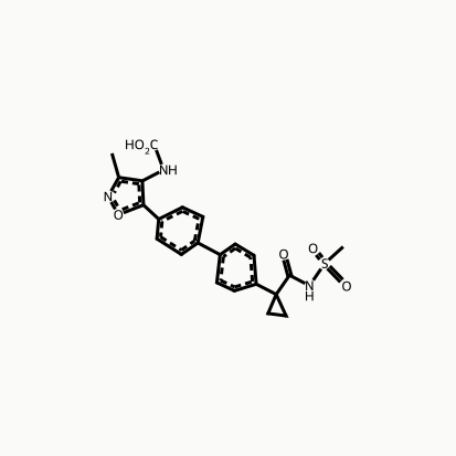 Cc1noc(-c2ccc(-c3ccc(C4(C(=O)NS(C)(=O)=O)CC4)cc3)cc2)c1NC(=O)O